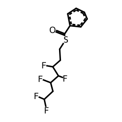 O=C(SCCC(F)C(F)C(F)CC(F)F)c1ccccc1